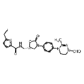 CC1=NN(C=O)CCN1c1ccc(N2C[C@H](CNC(=O)c3ccc(CI)s3)OC2=O)cc1